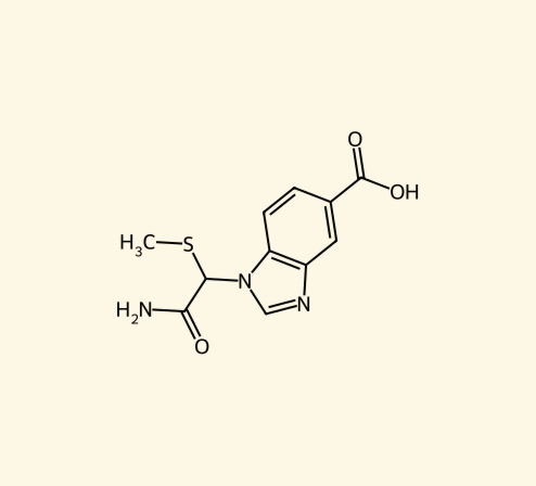 CSC(C(N)=O)n1cnc2cc(C(=O)O)ccc21